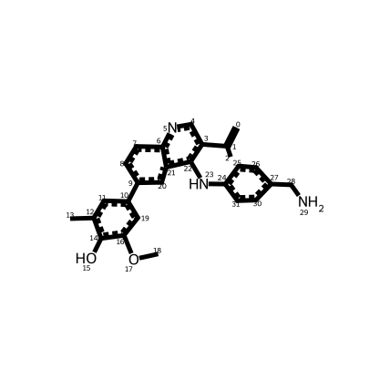 C=C(C)c1cnc2ccc(-c3cc(C)c(O)c(OC)c3)cc2c1Nc1ccc(CN)cc1